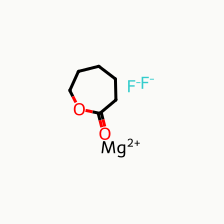 O=C1CCCCCO1.[F-].[F-].[Mg+2]